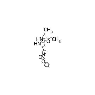 CCCCC1(CCCC)NC(=N)C(CCC2CCN(C(=O)COc3ccccc3)C2)C1=O